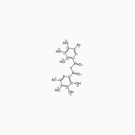 CC(=O)c1cc(C(=O)CC(=O)c2cc(C(C)=O)c(O)c(O)c2O)c(O)c(O)c1O